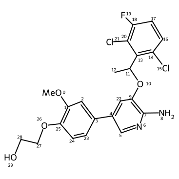 COc1cc(-c2cnc(N)c(OC(C)c3c(Cl)ccc(F)c3Cl)c2)ccc1OCCO